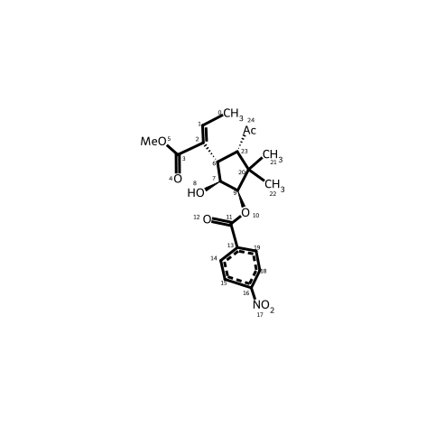 C/C=C(/C(=O)OC)[C@H]1[C@H](O)[C@H](OC(=O)c2ccc([N+](=O)[O-])cc2)C(C)(C)[C@H]1C(C)=O